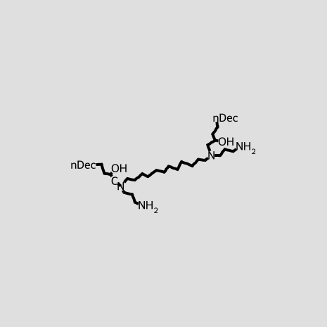 CCCCCCCCCCCCC(O)CN(CCCN)CCCCCCCCCCCCN(CCCN)CC(O)CCCCCCCCCCCC